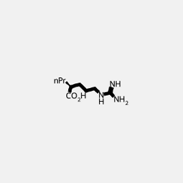 CCC[C@@H](CCCNC(=N)N)C(=O)O